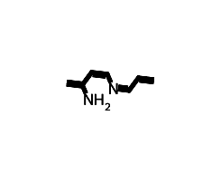 C=C/C=N\C=C/C(=C)N